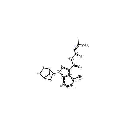 C/C(N)=C/C(=N)NC(=O)c1cn(C2CC3CCC2C3)c2ncnc(N)c12